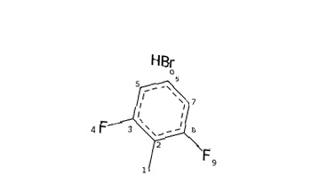 Br.Cc1c(F)cccc1F